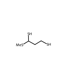 CSC(S)CCS